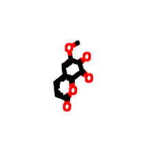 COC1=Cc2ccc(=O)oc2C(=O)C1=O